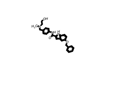 CN(CCO)Cc1ccc(NC(=O)c2cc3cc(OCc4ccccc4)ccc3[nH]2)cc1